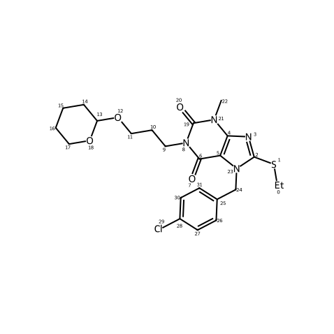 CCSc1nc2c(c(=O)n(CCCOC3CCCCO3)c(=O)n2C)n1Cc1ccc(Cl)cc1